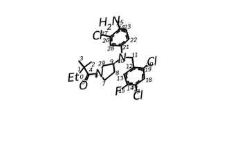 CCC(C)(C)C(=O)N1CC[C@H](N(Cc2cc(F)c(Cl)cc2Cl)c2ccc(N)c(Cl)c2)C1